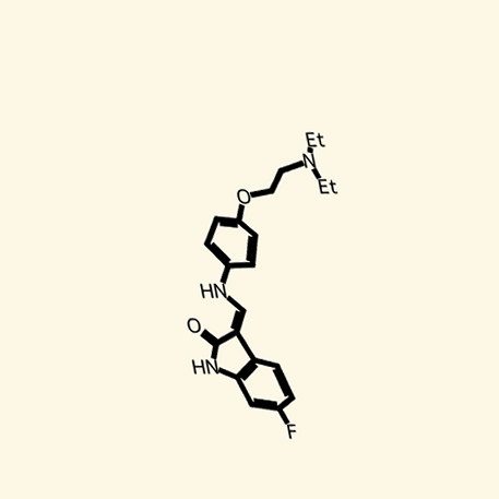 CCN(CC)CCOc1ccc(NC=C2C(=O)Nc3cc(F)ccc32)cc1